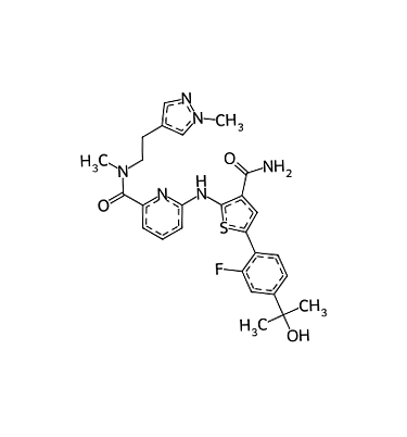 CN(CCc1cnn(C)c1)C(=O)c1cccc(Nc2sc(-c3ccc(C(C)(C)O)cc3F)cc2C(N)=O)n1